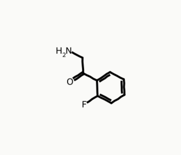 NCC(=O)c1ccccc1F